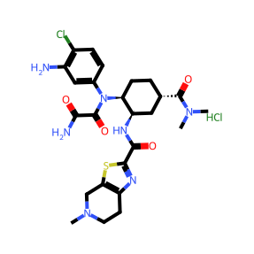 CN1CCc2nc(C(=O)N[C@@H]3C[C@@H](C(=O)N(C)C)CC[C@@H]3N(C(=O)C(N)=O)c3ccc(Cl)c(N)c3)sc2C1.Cl